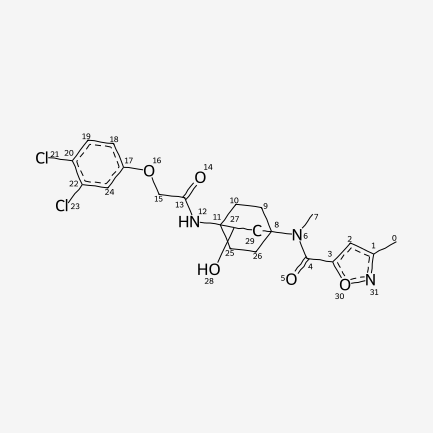 Cc1cc(C(=O)N(C)C23CCC(NC(=O)COc4ccc(Cl)c(Cl)c4)(CC2)C(O)C3)on1